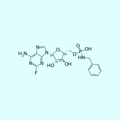 Nc1nc(F)nc2c1ncn2[C@@H]1O[C@H](COP(=O)(O)NCc2ccccc2)[C@@H](O)[C@@H]1O